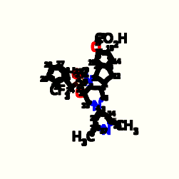 Cc1cc(N2CCC([N+](C)(C3CCc4ccc(OC(=O)O)cc43)S(=O)(=O)Cc3ccccc3C(F)(F)F)CC2)cc(C)n1